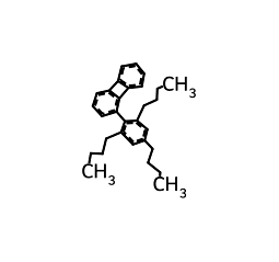 CCCCc1cc(CCCC)c(-c2cccc3c2-c2ccccc2-3)c(CCCC)c1